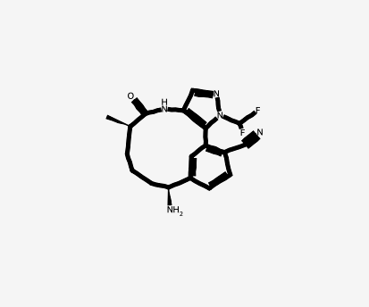 C[C@@H]1CCC[C@H](N)c2ccc(C#N)c(c2)-c2c(cnn2C(F)F)NC1=O